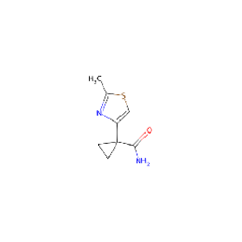 Cc1nc(C2(C(N)=O)CC2)cs1